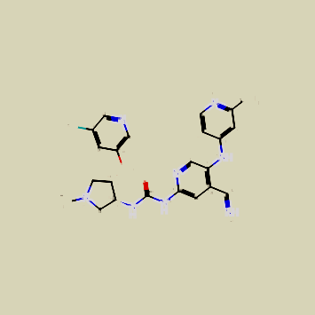 Cc1cc(Nc2cnc(NC(=O)N[C@H]3CN(C)C[C@@H]3Oc3cncc(F)c3)cc2C=N)ccn1